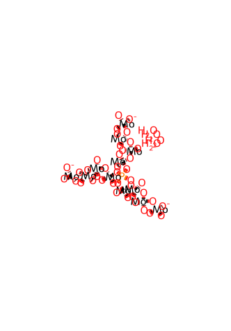 O.O.O.O.O=P([O][Mo](=[O])(=[O])[O][Mo](=[O])(=[O])[O][Mo](=[O])(=[O])[O][Mo](=[O])(=[O])[O-])([O][Mo](=[O])(=[O])[O][Mo](=[O])(=[O])[O][Mo](=[O])(=[O])[O][Mo](=[O])(=[O])[O-])[O][Mo](=[O])(=[O])[O][Mo](=[O])(=[O])[O][Mo](=[O])(=[O])[O][Mo](=[O])(=[O])[O-]